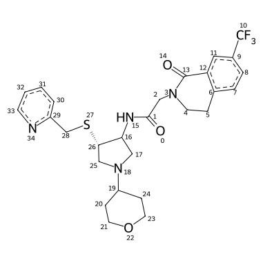 O=C(CN1CCc2ccc(C(F)(F)F)cc2C1=O)NC1CN(C2CCOCC2)C[C@@H]1SCc1ccccn1